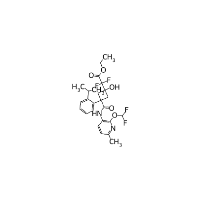 CCOC(=O)C(F)(F)C1(O)CC(C(=O)Nc2ccc(C)nc2OC(F)F)(c2ccccc2C(C)C)C1